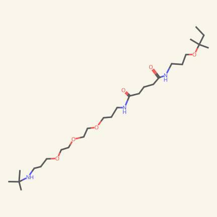 CCC(C)(C)OCCCNC(=O)CCCC(=O)NCCCOCCOCCOCCCNC(C)(C)C